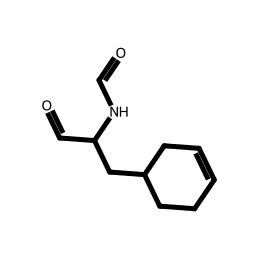 O=CNC(C=O)CC1CC=CCC1